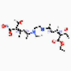 CCOC(=O)/C(C(C)=O)=C(C)\C=C(/C)N1CCN(/C(C)=C/C(C)=C(\C(C)=O)C(=O)N=O)CC1